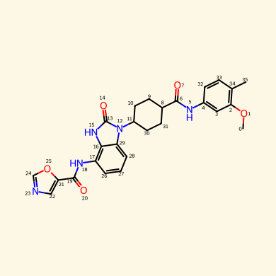 COc1cc(NC(=O)C2CCC(n3c(=O)[nH]c4c(NC(=O)c5cnco5)cccc43)CC2)ccc1C